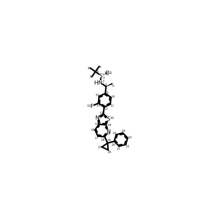 C[C@H](N[S@+]([O-])C(C)(C)C)c1ccc(-c2nc3ccc(C4(c5ccccc5)CC4)nc3s2)c(F)c1